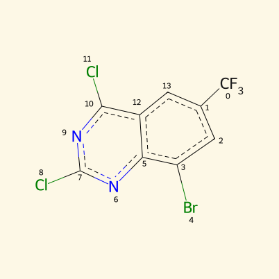 FC(F)(F)c1cc(Br)c2nc(Cl)nc(Cl)c2c1